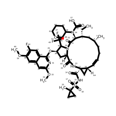 CC[C@@H]1C[C@H](C)CC/C=C\[C@@H]2C[C@@]2(C(=O)NS(=O)(=O)C2(C)CC2)NC(=O)[C@@H]2C[C@@H](Oc3nc(OC)cc4cc(OC)c(F)cc34)C(C(F)(F)F)N2C(=O)[C@H]1N(C(=O)O)C1CCCOC1